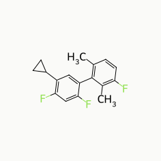 Cc1ccc(F)c(C)c1-c1cc(C2CC2)c(F)cc1F